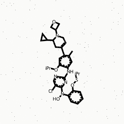 Cc1cc(Nc2ncc(Cl)c(N(O)c3ccccc3OSC(C)C)n2)c(OC(C)C)cc1C1=CCN(C2COC2)C(C2CC2)C1